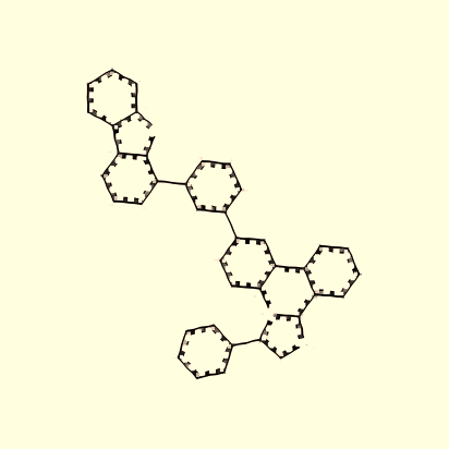 c1ccc(-c2cnc3c4ccccc4c4cc(-c5cccc(-c6cccc7c6oc6ccccc67)c5)ccc4n23)cc1